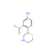 Nc1ccc(C2CNCCS2)c([N+](=O)[O-])c1